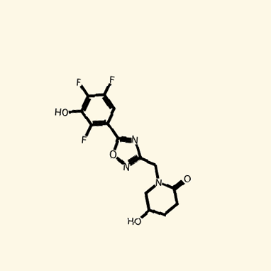 O=C1CCC(O)CN1Cc1noc(-c2cc(F)c(F)c(O)c2F)n1